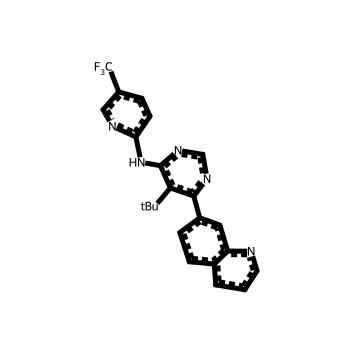 CC(C)(C)c1c(Nc2ccc(C(F)(F)F)cn2)ncnc1-c1ccc2cccnc2c1